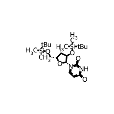 CC(C)(C)[Si](C)(C)OC[C@H]1O[C@@H](n2ccc(=O)[nH]c2=O)C(O[Si](C)(C)C(C)(C)C)[C@H]1I